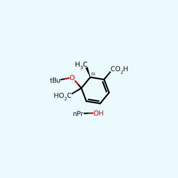 CCCO.C[C@H]1C(C(=O)O)=CC=CC1(OC(C)(C)C)C(=O)O